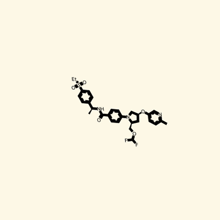 CCS(=O)(=O)c1ccc([C@H](C)NC(=O)c2ccc(N3C[C@@H](Oc4ccc(C)nc4)C[C@H]3COC(F)F)cc2)cc1